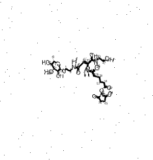 C[C@@H]1O[C@@H](OCCNC(=O)CC(NC(=O)CCCCC(=O)ON2C(=O)CCC2=O)C(=O)NCCO)[C@@H](O)[C@H](O)C1O